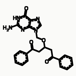 Nc1nc2c(ncn2COC(CC(=O)c2ccccc2)CC(=O)c2ccccc2)c(=O)[nH]1